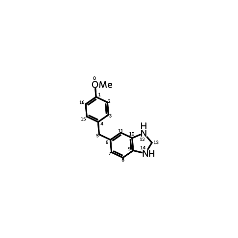 COc1ccc(Cc2ccc3c(c2)NCN3)cc1